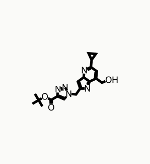 CC(C)(C)OC(=O)c1cn(CC2=CC3N=C(C4CC4)C=C(CO)C3=N2)nn1